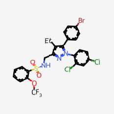 CCc1c(CNS(=O)(=O)c2ccccc2OC(F)(F)F)nn(-c2ccc(Cl)cc2Cl)c1-c1ccc(Br)cc1